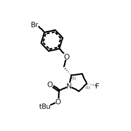 CC(C)(C)OC(=O)N1C[C@@H](F)C[C@H]1COc1ccc(Br)cc1